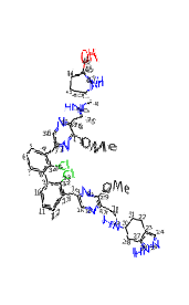 COc1nc(-c2cccc(-c3cccc(-c4cnc(CNC5CCc6cn[nH]c6C5)c(OC)n4)c3Cl)c2Cl)cnc1CNC[C@@H]1CCC(O)N1